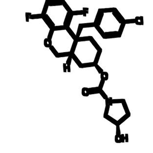 O=C(O[C@@H]1CC[C@@]2(Cc3ccc(Cl)cc3)c3c(F)ccc(F)c3OC[C@H]2C1)N1CC[C@@H](O)C1